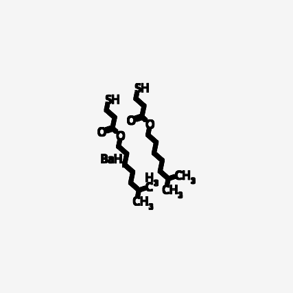 CC(C)CCCCCOC(=O)CCS.CC(C)CCCCCOC(=O)CCS.[BaH2]